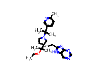 CCOC(C)(C)[C@@]1(CCc2nc3ncncc3[nH]2)CCN(C(C)(C)c2ccc(C)nc2)C1